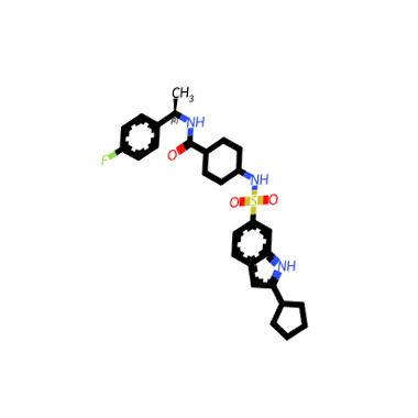 C[C@@H](NC(=O)C1CCC(NS(=O)(=O)c2ccc3cc(C4CCCC4)[nH]c3c2)CC1)c1ccc(F)cc1